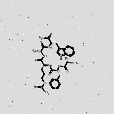 CCCC[C@H](NC(C)=O)C(=O)N[C@H](Cc1ccccc1)C(=O)N[C@@H](CCCNC(=N)N)C(=O)N[C@@H](C)C(=O)N[C@@H](Cc1c[nH]c2ccccc12)C(N)=O